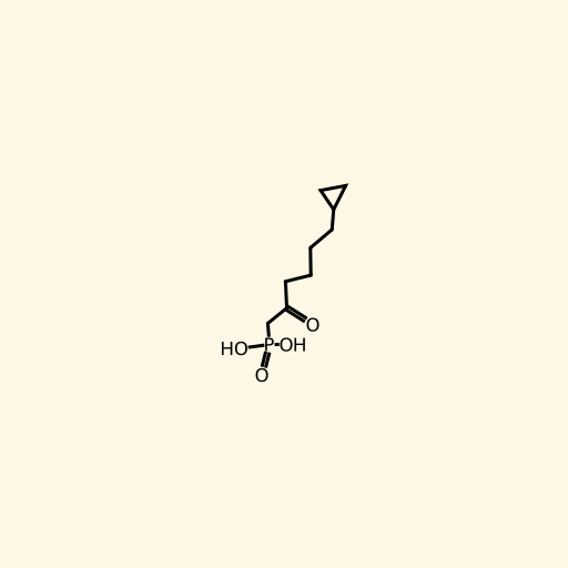 O=C(CCCCC1CC1)CP(=O)(O)O